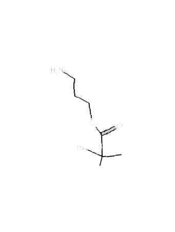 CC(C)(C)C(C)(C)C(=O)OCCCN